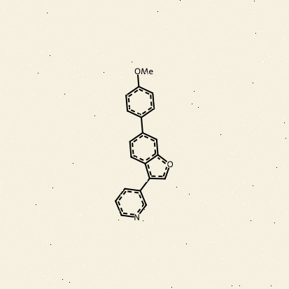 COc1ccc(-c2ccc3c(-c4cccnc4)coc3c2)cc1